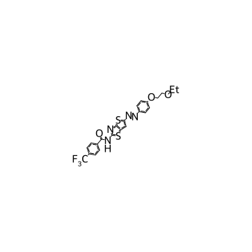 CCOCCOc1ccc(N=Nc2cc3sc(NC(=O)c4ccc(C(F)(F)F)cc4)nc3s2)cc1